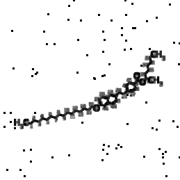 CCCCCCCCCCCCCCCCCOc1ccc2cc(CCc3ccc(C(=O)O[C@H](C)CCCCCC)cc3)ccc2c1